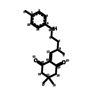 [CH2]c1ccc(NCCC(C)C=C2C(=O)CC(C)(C)CC2=O)cc1